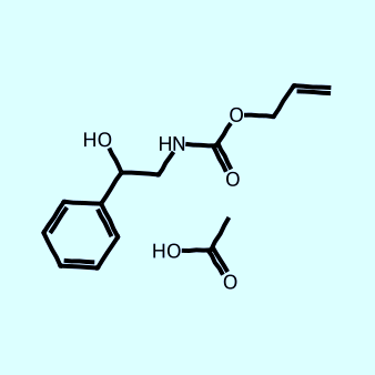 C=CCOC(=O)NCC(O)c1ccccc1.CC(=O)O